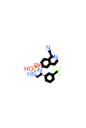 N#Cc1nccc2cc(N3[C@H](c4cccc(C(F)(F)F)c4)CNS3(O)O)ccc12